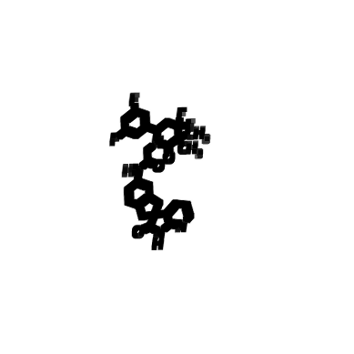 CC1(C)C(=O)N(CC(=O)Nc2ccc3c(c2)CC2(C3)C(=O)Nc3ncccc32)C(c2cc(F)cc(F)c2)CC1(F)F